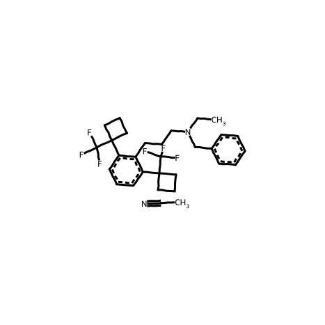 CC#N.CCN(CCCc1c(C2(C(F)(F)F)CCC2)cccc1C1(C(F)(F)F)CCC1)Cc1ccccc1